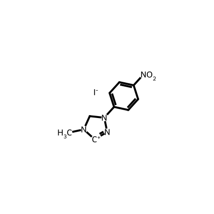 CN1[C+]=NN(c2ccc([N+](=O)[O-])cc2)C1.[I-]